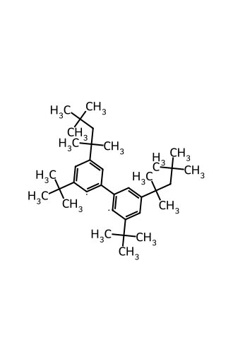 CC(C)(C)CC(C)(C)c1cc(-c2[c]c(C(C)(C)C)cc(C(C)(C)CC(C)(C)C)c2)[c]c(C(C)(C)C)c1